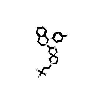 Fc1ccc([C@H]2c3ccccc3CCN2C2=NC[C@]3(CCN(CCC(F)(F)F)C3)O2)cc1